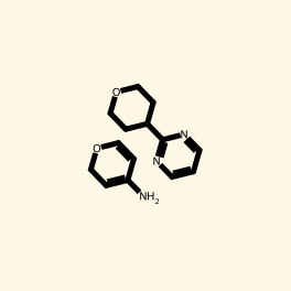 NC1=CCOC=C1.c1cnc(C2CCOCC2)nc1